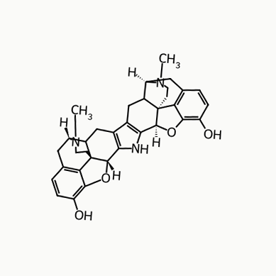 CN1CC[C@]23c4c5ccc(O)c4O[C@H]2c2[nH]c4c(c2CC3[C@H]1C5)CC1[C@H]2Cc3ccc(O)c5c3[C@@]1(CCN2C)[C@H]4O5